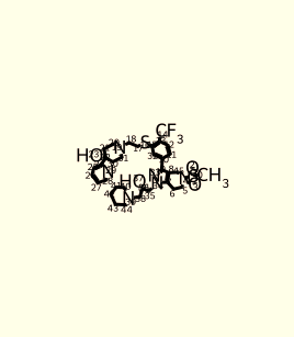 CS(=O)(=O)N1CCc2c(c(-c3ccc(C(F)(F)F)c(SCCN4CCC(O)(c5ccccn5)CC4)c3)nn2C[C@H](O)CN2CCCCC2)C1